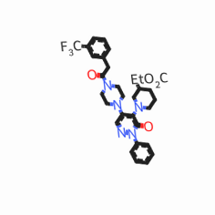 CCOC(=O)C1CCCN(c2c(N3CCN(C(=O)Cc4cccc(C(F)(F)F)c4)CC3)cnn(-c3ccccc3)c2=O)C1